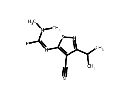 CC(C)c1nsc(/N=C(/F)N(C)C)c1C#N